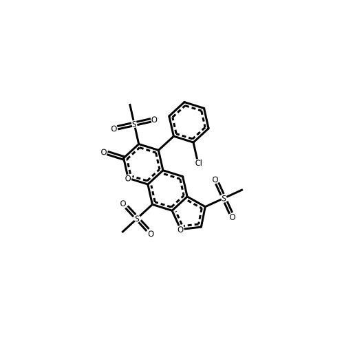 CS(=O)(=O)c1c(-c2ccccc2Cl)c2cc3c(S(C)(=O)=O)coc3c(S(C)(=O)=O)c2oc1=O